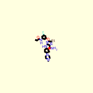 C=CC(=O)Nc1cc(F)cc(Oc2nc(Nc3ccc(N4CCN(C)CC4)cc3)c(C(N)=O)nc2CC)c1